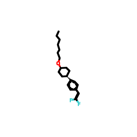 CCCCCCCO[C@H]1CC[C@H](c2ccc(C=C(F)F)cc2)CC1